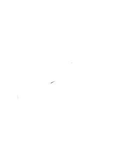 Cc1cc([C@@H]2C[C@@H](F)[C@@H](O)C3(CCCC3)C2)ccc1F